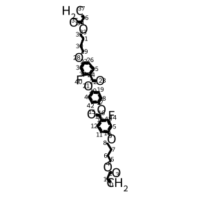 C=CC(=O)OCCCCOc1ccc(C(=O)Oc2ccc(OC(=O)c3ccc(OCCCCOC(=O)C=C)cc3F)cc2)c(F)c1